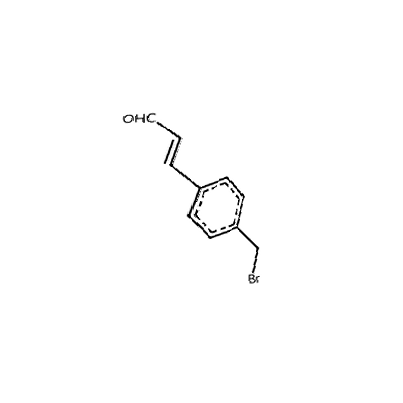 O=CC=Cc1ccc(CBr)cc1